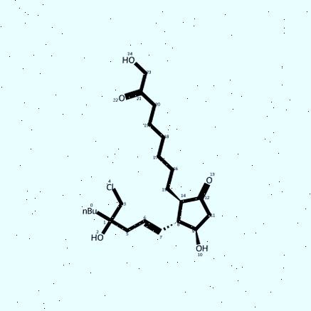 CCCCC(O)(CCl)CC=C[C@H]1[C@H](O)CC(=O)[C@@H]1CCCCCCC(=O)CO